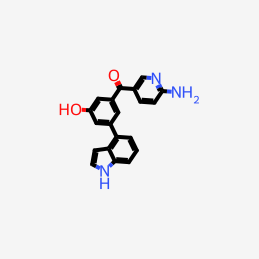 Nc1ccc(C(=O)c2cc(O)cc(-c3cccc4[nH]ccc34)c2)cn1